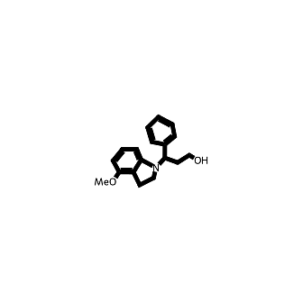 COc1cccc2c1CCN2C(CCO)c1ccccc1